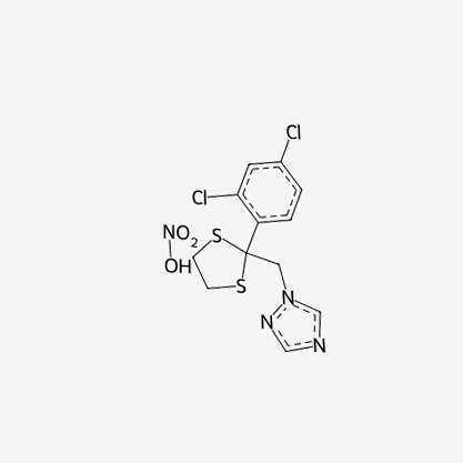 Clc1ccc(C2(Cn3cncn3)SCCS2)c(Cl)c1.O=[N+]([O-])O